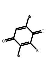 O=C1C=C(Br)C(=O)C(Br)=C1Br